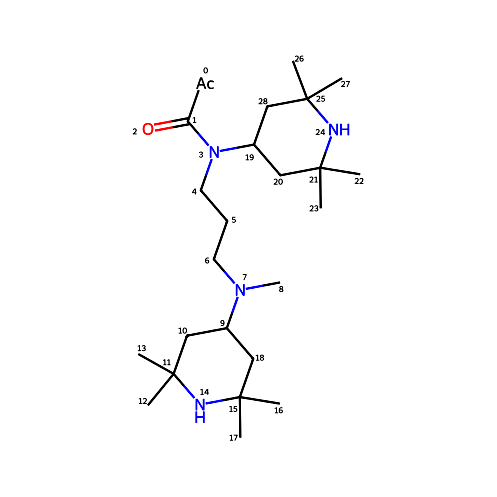 CC(=O)C(=O)N(CCCN(C)C1CC(C)(C)NC(C)(C)C1)C1CC(C)(C)NC(C)(C)C1